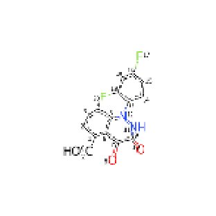 O=C(O)c1cccc2c1c(=O)c(=O)[nH]n2-c1ccc(F)cc1F